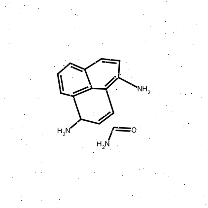 NC=O.Nc1ccc2cccc3c2c1C=CC3N